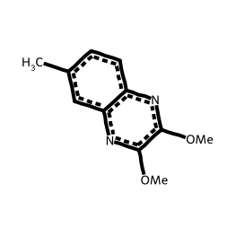 COc1nc2ccc(C)cc2nc1OC